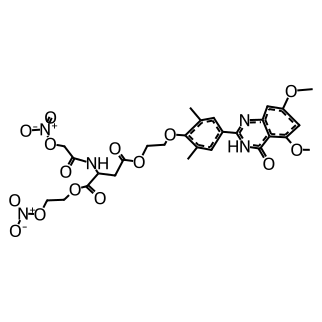 COc1cc(OC)c2c(=O)[nH]c(-c3cc(C)c(OCCOC(=O)CC(NC(=O)CO[N+](=O)[O-])C(=O)OCCO[N+](=O)[O-])c(C)c3)nc2c1